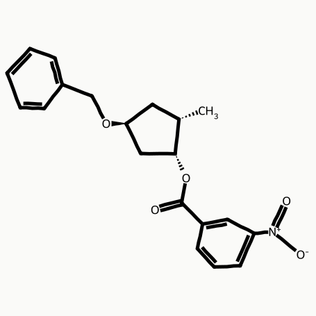 C[C@H]1C[C@H](OCc2ccccc2)C[C@H]1OC(=O)c1cccc([N+](=O)[O-])c1